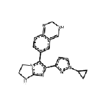 C1=c2cc(-c3c(-c4ccn(C5CC5)n4)nc4n3CCN4)ccc2=NCN1